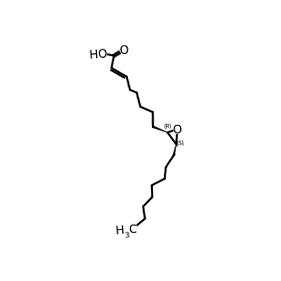 CCCCCCCC[C@@H]1O[C@@H]1CCCCCC=CC(=O)O